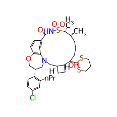 CCCc1cc(Cl)ccc1[C@@H]1COc2ccc3cc2N(C1)C[C@@H]1CC[C@H]1[C@@](O)(C1SCCCS1)CCC[C@H](C)[C@@H](C)S(=O)(=O)NC3=O